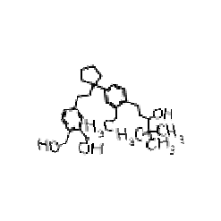 CCc1cc(C2(CCc3ccc(CO)c(CO)c3)CCCC2)ccc1CCC(O)C(C)(C)C